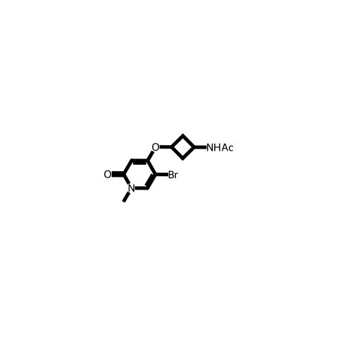 CC(=O)NC1CC(Oc2cc(=O)n(C)cc2Br)C1